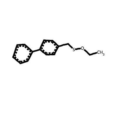 CCOSCc1ccc(-c2ccccc2)cc1